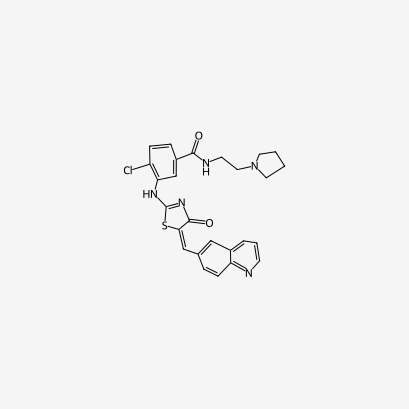 O=C1N=C(Nc2cc(C(=O)NCCN3CCCC3)ccc2Cl)SC1=Cc1ccc2ncccc2c1